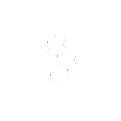 CCOC(=O)c1[c]ccc(-c2ccccc2C(=O)OC)c1